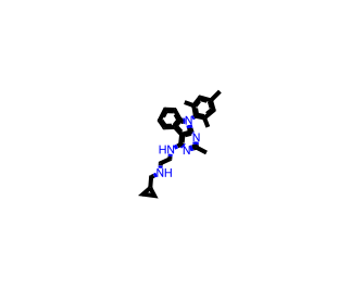 Cc1cc(C)c(-n2c3ccccc3c3c(NCCNCC4CC4)nc(C)nc32)c(C)c1